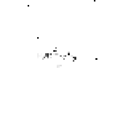 FCC(F)[O][AlH2]